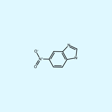 O=[N+]([O-])c1ccc2c(c1)N=C[N]2